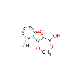 COc1c(C(=O)O)oc2cccc(C)c12